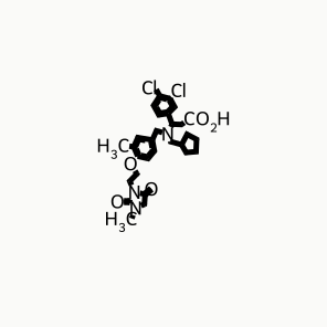 Cc1cc(CN(CC2CCCC2)C(CC(=O)O)c2ccc(Cl)c(Cl)c2)ccc1OCCN1C(=O)CN(C)C1=O